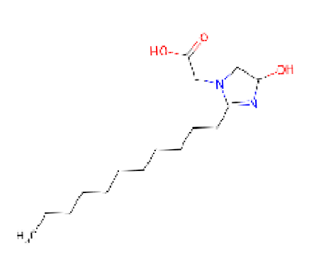 CCCCCCCCCCCC1=NC(O)CN1CC(=O)O